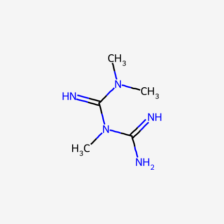 CN(C)C(=N)N(C)C(=N)N